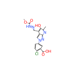 COC(=O)NN=Cc1c(O)c(C)nc2nn(-c3ccc(Cl)c(C(=O)O)c3)cc12